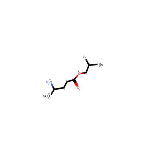 CCCCC(CC)COC(=O)CCC(N)C(=O)O